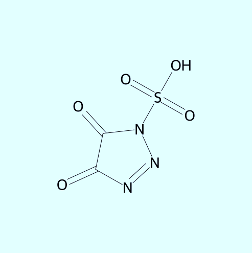 O=C1N=NN(S(=O)(=O)O)C1=O